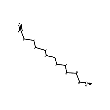 C#C[CH]CCCCCCCCCCOC(C)=O